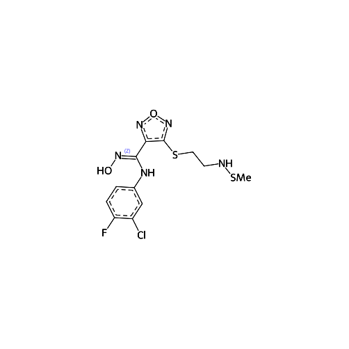 CSNCCSc1nonc1/C(=N/O)Nc1ccc(F)c(Cl)c1